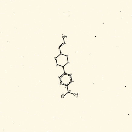 CCC/C=C/C1CCC(c2ccc(C(O)CC)cc2)CC1